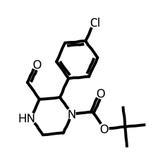 CC(C)(C)OC(=O)N1CCNC(C=O)C1c1ccc(Cl)cc1